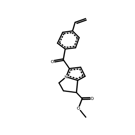 C=Cc1ccc(C(=O)c2ccc3n2CCC3C(=O)OC)cc1